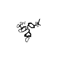 Cc1nc(C2CCC(N3C[C@H](C(=O)O)OC[C@@H]3Cc3ccc(Cl)cc3)CC2)sc1C